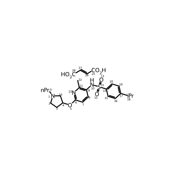 CCCN1CCC(Oc2ccc(NS(=O)(=O)c3ccc(C(C)C)cc3)c(C)n2)C1.O=C(O)C=CC(=O)O